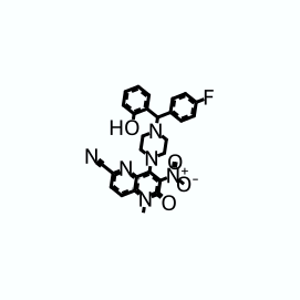 Cn1c(=O)c([N+](=O)[O-])c(N2CCN(C(c3ccc(F)cc3)c3ccccc3O)CC2)c2nc(C#N)ccc21